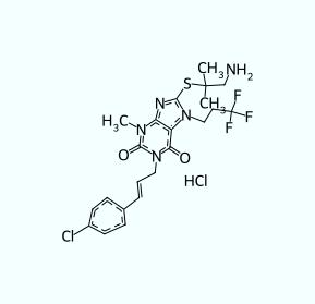 Cl.Cn1c(=O)n(C/C=C/c2ccc(Cl)cc2)c(=O)c2c1nc(SC(C)(C)CN)n2CCC(F)(F)F